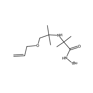 C=CCOCC(C)(C)NC(C)(C)C(=O)NC(C)(C)C